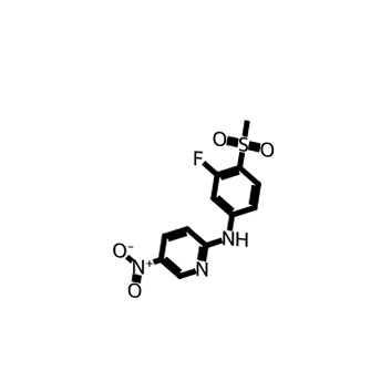 CS(=O)(=O)c1ccc(Nc2ccc([N+](=O)[O-])cn2)cc1F